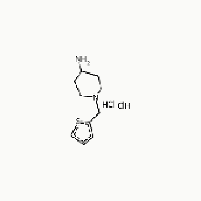 Cl.Cl.NC1CCN(Cc2cccs2)CC1